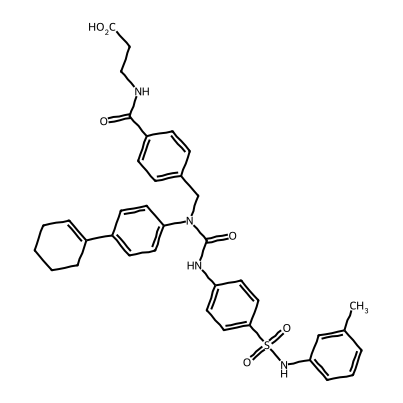 Cc1cccc(NS(=O)(=O)c2ccc(NC(=O)N(Cc3ccc(C(=O)NCCC(=O)O)cc3)c3ccc(C4=CCCCC4)cc3)cc2)c1